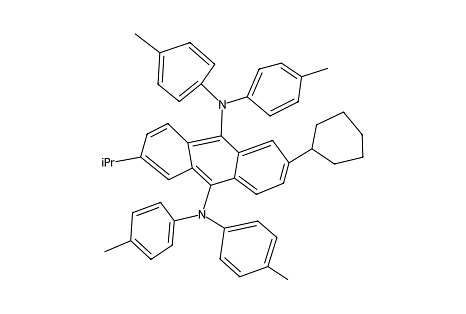 Cc1ccc(N(c2ccc(C)cc2)c2c3ccc(C4CCCCC4)cc3c(N(c3ccc(C)cc3)c3ccc(C)cc3)c3ccc(C(C)C)cc23)cc1